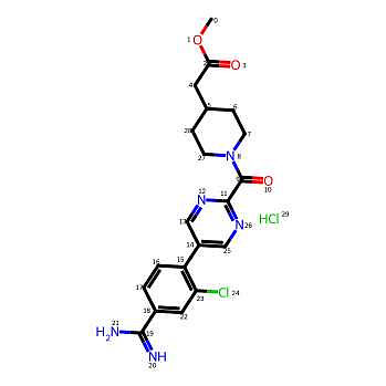 COC(=O)CC1CCN(C(=O)c2ncc(-c3ccc(C(=N)N)cc3Cl)cn2)CC1.Cl